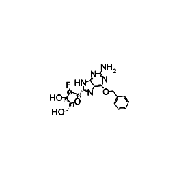 Nc1nc(OCc2ccccc2)c2nc([C@@H]3O[C@H](CO)[C@@H](O)[C@H]3F)[nH]c2n1